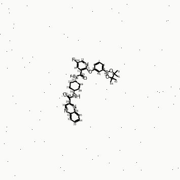 CC1(C)OB(c2cccc(Oc3ncc(F)cc3C(=O)N[C@H]3CC[C@H](NC(=O)c4cnc5ccccc5n4)CC3)c2)OC1(C)C